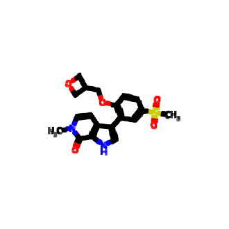 Cn1ccc2c(-c3cc(S(C)(=O)=O)ccc3OCC3COC3)c[nH]c2c1=O